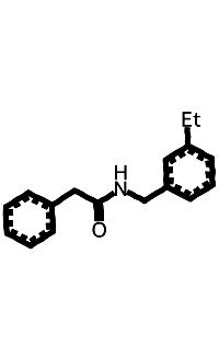 CCc1cccc(CNC(=O)Cc2ccccc2)c1